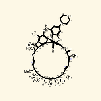 CO[C@H]1/C=C/O[C@@]2(C)Oc3c(C)c(O)c4c(=O)c(c5oc6cc(N7CCOCC7)cc(O)c6nc-5c4c3/C2=N/O)NC(=O)/C(C)=C\C=C\[C@H](C)[C@H](O)[C@@H](C)[C@@H](O)[C@@H](C)[C@H](OC(C)=O)[C@@H]1C